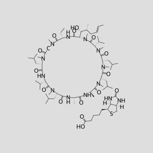 C/C=C/C[C@@H](C)[C@@H](O)[C@H]1C(=O)N[C@@H](CC)C(=O)N(C)CC(=O)N(C)[C@@H](CC(C)C)C(=O)N[C@@H](C(C)C)C(=O)N(C)[C@@H](CC(C)C)C(=O)N[C@@H](C)C(=O)N[C@H](C)C(=O)N(C)[C@@H](CC(C)C)C(=O)N(C)[C@@H](CC(C)C)C(=O)N(C)[C@@H](C(C)C)C(=O)N1C.O=C(O)CCCC[C@@H]1SC[C@@H]2NC(=O)N[C@@H]21